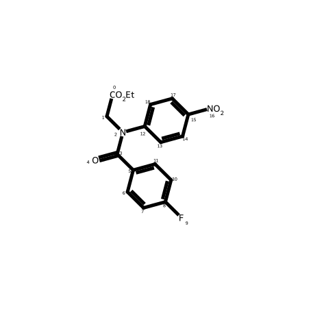 CCOC(=O)CN(C(=O)c1ccc(F)cc1)c1ccc([N+](=O)[O-])cc1